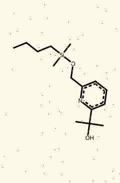 CCCC[Si](C)(C)OCc1cccc(C(C)(C)O)n1